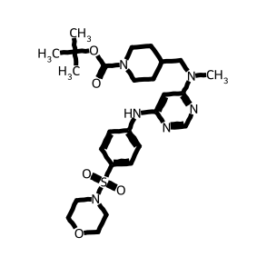 CN(CC1CCN(C(=O)OC(C)(C)C)CC1)c1cc(Nc2ccc(S(=O)(=O)N3CCOCC3)cc2)ncn1